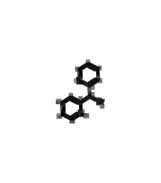 BrC(c1ccccn1)c1ccccn1